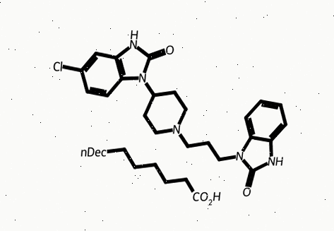 CCCCCCCCCCCCCCCC(=O)O.O=c1[nH]c2ccccc2n1CCCN1CCC(n2c(=O)[nH]c3cc(Cl)ccc32)CC1